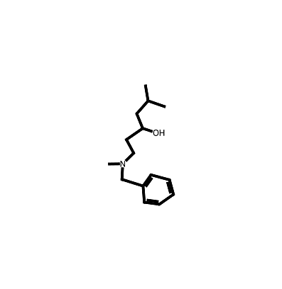 CC(C)CC(O)CCN(C)Cc1ccccc1